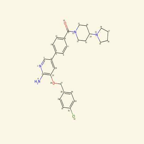 Nc1ncc(-c2ccc(C(=O)N3CCC(N4CCCC4)CC3)cc2)cc1OCc1ccc(Cl)cc1